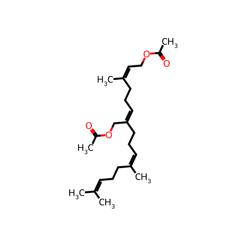 CC(=O)OCC=C(C)CCC=C(CCC=C(C)CCC=C(C)C)COC(C)=O